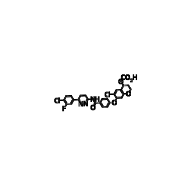 O=C(O)OC1CCOc2cc(Oc3ccc(C(=O)Nc4ccc(-c5ccc(Cl)c(F)c5)nn4)cc3)c(Cl)cc21